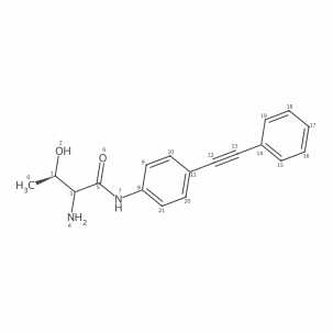 C[C@@H](O)C(N)C(=O)Nc1ccc(C#Cc2ccccc2)cc1